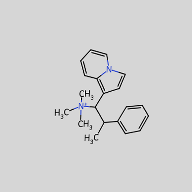 CC(c1ccccc1)C(c1ccn2ccccc12)[N+](C)(C)C